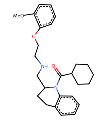 COc1ccccc1OCCNCC1CCc2ccccc2N1C(=O)C1CCCCC1